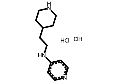 Cl.Cl.c1cc(NCCC2CCNCC2)ccn1